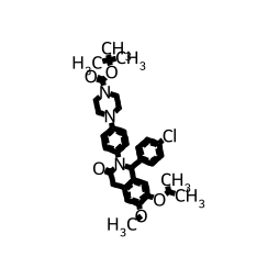 COc1cc2c(cc1OC(C)C)C(c1ccc(Cl)cc1)N(c1ccc(N3CCN(C(=O)OC(C)(C)C)CC3)cc1)C(=O)C2